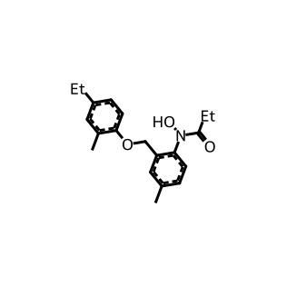 CCC(=O)N(O)c1ccc(C)cc1COc1ccc(CC)cc1C